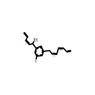 C=C/C=C\C=C/Cc1cc(I)cc(C(/C=C\C=C)CC)c1